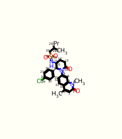 Cc1cc(=O)n(C)c2cc(N3C(=O)CC[C@H](NS(=O)(=O)CC(C)C(C)C)[C@H]3c3ccc(Cl)cc3)ccc12